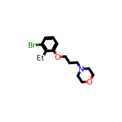 CCc1c(Br)cccc1OCCCN1CCOCC1